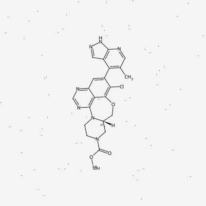 Cc1cnc2[nH]ncc2c1-c1cc2ncnc3c2c(c1Cl)OC[C@@H]1CN(C(=O)OC(C)(C)C)CCN31